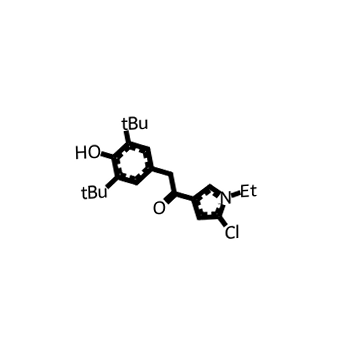 CCn1cc(C(=O)Cc2cc(C(C)(C)C)c(O)c(C(C)(C)C)c2)cc1Cl